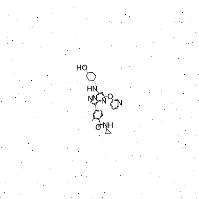 Cc1cc(-c2cnn3c(NC[C@H]4CC[C@@H](O)CC4)cc(Oc4cccnc4)nc23)ccc1C(=O)NC1CC1